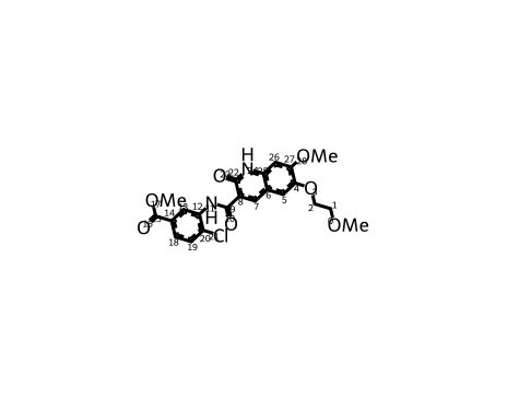 COCCOc1cc2cc(C(=O)Nc3cc(C(=O)OC)ccc3Cl)c(=O)[nH]c2cc1OC